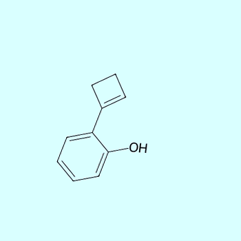 Oc1ccccc1C1=CCC1